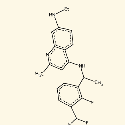 CCNc1ccc2c(NC(C)c3cccc(C(F)F)c3F)cc(C)nc2c1